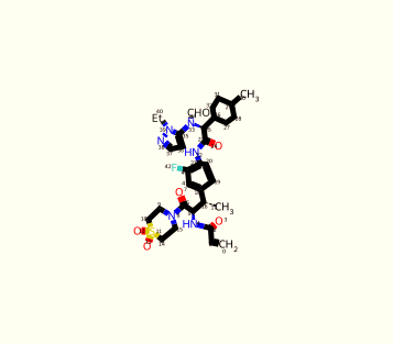 C=CC(=O)N[C@@H](C(=O)N1CCS(=O)(=O)CC1)[C@@H](C)c1ccc(NC(=O)[C@H](C2CCC(C)CC2)N(C=O)c2ccnn2CC)c(F)c1